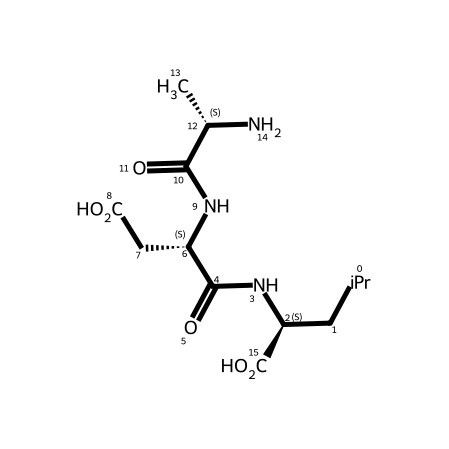 CC(C)C[C@H](NC(=O)[C@H](CC(=O)O)NC(=O)[C@H](C)N)C(=O)O